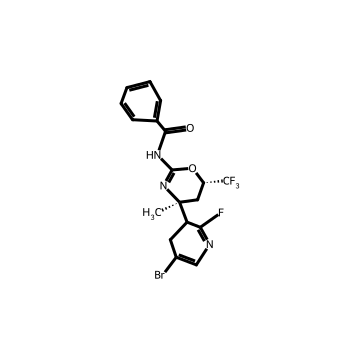 C[C@@]1(C2CC(Br)=CN=C2F)C[C@@H](C(F)(F)F)OC(NC(=O)c2ccccc2)=N1